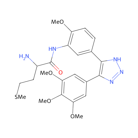 COc1ccc(-c2[nH]nnc2-c2cc(OC)c(OC)c(OC)c2)cc1NC(=O)C(N)CCSC